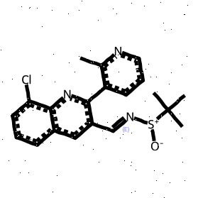 Cc1ncccc1-c1nc2c(Cl)cccc2cc1/C=N/[S+]([O-])C(C)(C)C